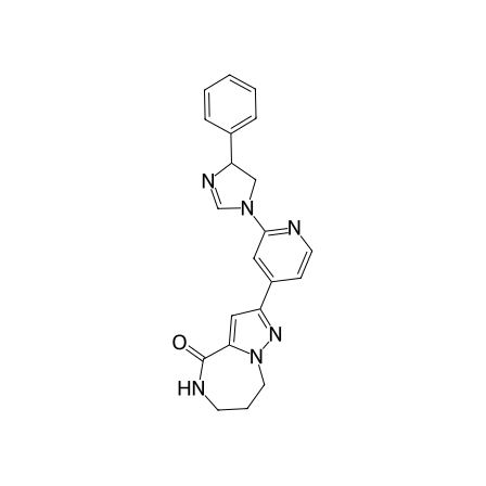 O=C1NCCCn2nc(-c3ccnc(N4C=NC(c5ccccc5)C4)c3)cc21